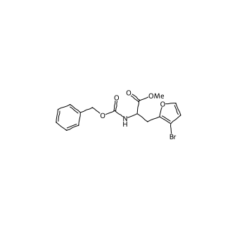 COC(=O)C(Cc1occc1Br)NC(=O)OCc1ccccc1